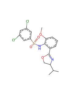 COc1cccc(C2=NC(C(C)C)CO2)c1NS(=O)(=O)c1cc(Cl)cc(Cl)c1